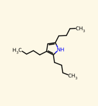 CCCCc1cc(CCCC)c(CCCC)[nH]1